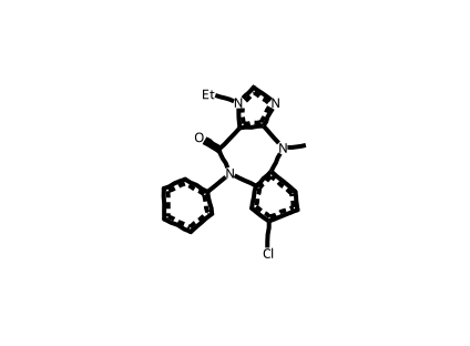 CCn1cnc2c1C(=O)N(c1ccccc1)c1cc(Cl)ccc1N2C